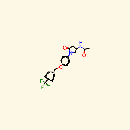 CC(=O)NC1CC(=O)N(c2ccc(OCc3ccc(C(F)(F)F)cc3)cc2)C1